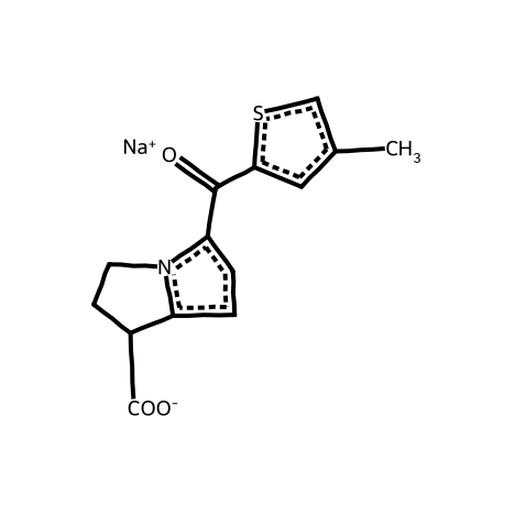 Cc1csc(C(=O)c2ccc3n2CCC3C(=O)[O-])c1.[Na+]